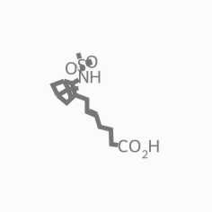 CC1(C)C2CC(C/C=C/CCCC(=O)O)C(NS(C)(=O)=O)C1C2